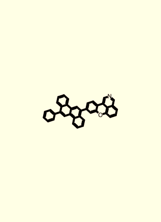 c1ccc(-c2cc3c4ccccc4c(-c4ccc5c(c4)Oc4cccc6cncc-5c46)cc3c3ccccc23)cc1